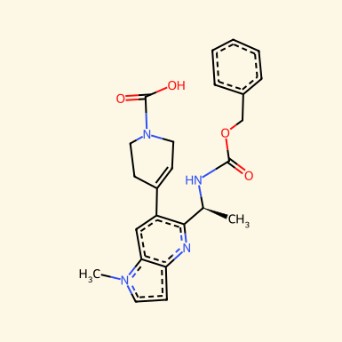 C[C@H](NC(=O)OCc1ccccc1)c1nc2ccn(C)c2cc1C1=CCN(C(=O)O)CC1